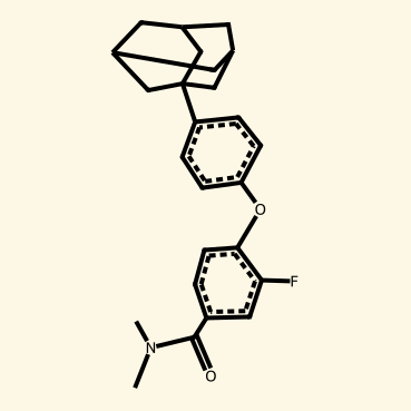 CN(C)C(=O)c1ccc(Oc2ccc(C34CC5CC(CC(C5)C3)C4)cc2)c(F)c1